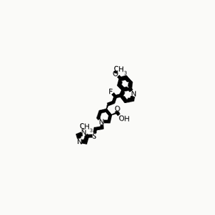 COc1ccc2nccc(C(F)CC[C@@H]3CCN(CCSc4cncn4C)C[C@@H]3C(=O)O)c2c1